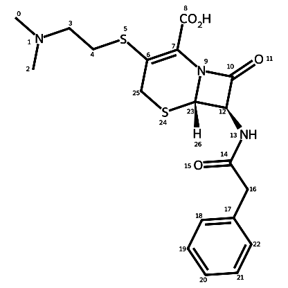 CN(C)CCSC1=C(C(=O)O)N2C(=O)[C@@H](NC(=O)Cc3ccccc3)[C@@H]2SC1